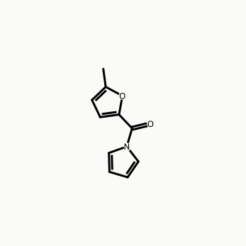 Cc1ccc(C(=O)n2cccc2)o1